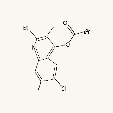 CCc1nc2cc(C)c(Cl)cc2c(OC(=O)C(C)C)c1C